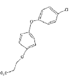 CCOC(=O)CCOc1ccc(Oc2ccc(Cl)cc2)cc1